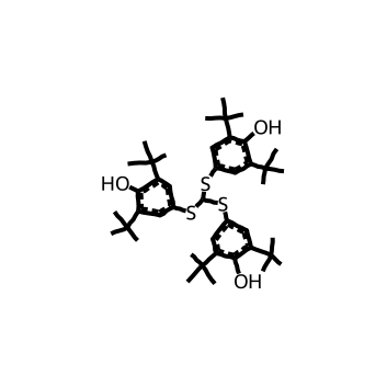 CC(C)(C)c1cc(SC(Sc2cc(C(C)(C)C)c(O)c(C(C)(C)C)c2)Sc2cc(C(C)(C)C)c(O)c(C(C)(C)C)c2)cc(C(C)(C)C)c1O